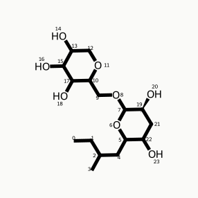 CCC(C)CC1OC(OCC2OCC(O)C(O)C2O)[C@@H](O)CC1O